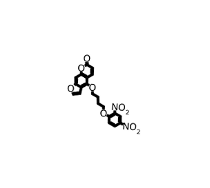 O=c1ccc2c(OCCCCOc3ccc([N+](=O)[O-])cc3[N+](=O)[O-])c3ccoc3cc2o1